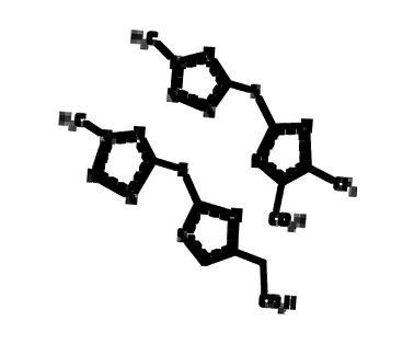 Cn1nnc(Sc2nc(C(F)(F)F)c(C(=O)O)s2)n1.Cn1nnc(Sc2nc(CC(=O)O)cs2)n1